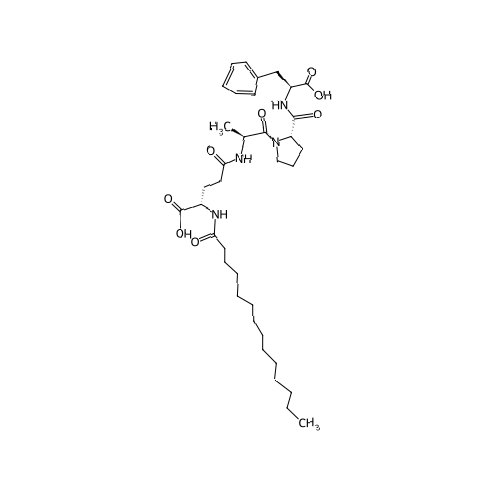 CCCCCCCCCCCCCC(=O)N[C@@H](CCC(=O)N[C@@H](C)C(=O)N1CCC[C@H]1C(=O)N[C@@H](Cc1ccccc1)C(=O)O)C(=O)O